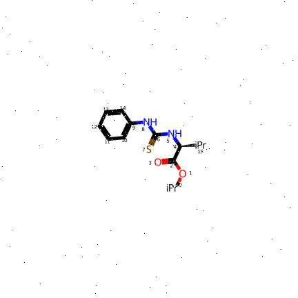 CC(C)OC(=O)[C@@H](NC(=S)Nc1ccccc1)C(C)C